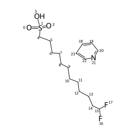 O=S(=O)(O)CCCCCCCCCCCC(F)F.c1ccncc1